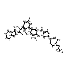 CCN1CCN(c2ccc(Nc3cc(-c4cc(F)cc(N5CCc6c(sc7c6CCCC7)C5=O)c4CO)cn(C)c3=O)nc2)CC1